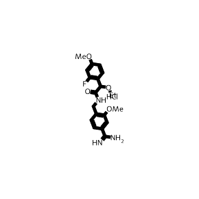 CCOC(C(=O)NCc1ccc(C(=N)N)cc1OC)c1ccc(OC)cc1F.Cl